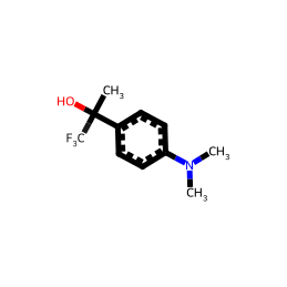 CN(C)c1ccc(C(C)(O)C(F)(F)F)cc1